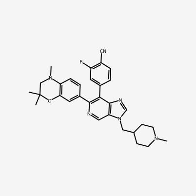 CN1CCC(Cn2cnc3c(-c4ccc(C#N)c(F)c4)c(-c4ccc5c(c4)OC(C)(C)CN5C)ncc32)CC1